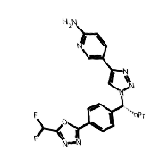 CCC[C@H](c1ccc(-c2nnc(C(F)F)o2)cc1)n1cc(-c2ccc(N)nc2)nn1